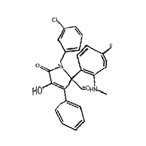 CNc1cc(F)ccc1C1(C=O)C(c2ccccc2)=C(O)C(=O)N1c1cccc(Cl)c1